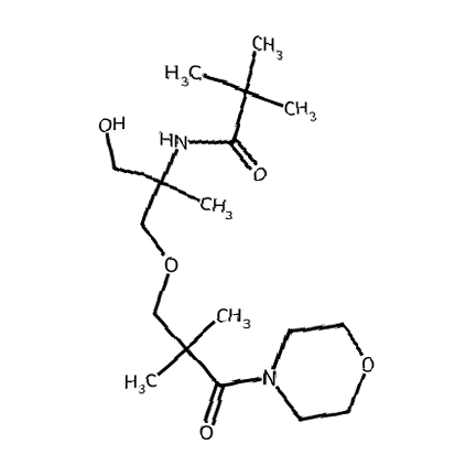 CC(CO)(COCC(C)(C)C(=O)N1CCOCC1)NC(=O)C(C)(C)C